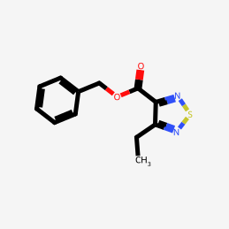 CCc1nsnc1C(=O)OCc1ccccc1